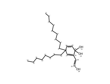 CCCCCCCCCC1(CCCCCCCC)C=CC(O)(O)C(C=NO)=C1